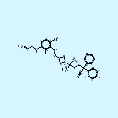 C=CCOc1ccc(Cl)c(COC2CN(C(C)(C)CCC(C#N)(c3ccccc3)c3ccccc3)C2)c1Cl